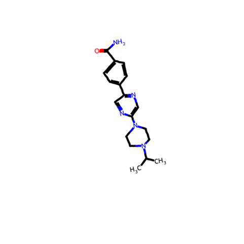 CC(C)N1CCN(c2cnc(-c3ccc(C(N)=O)cc3)cn2)CC1